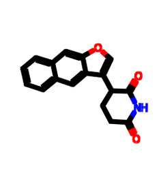 O=C1CCC(c2coc3cc4ccccc4cc23)C(=O)N1